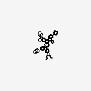 CCCN(CCC)c1ccc(C2(c3ccc(N4CCOCC4)cc3)C=Cc3c4c(c5cc(N6CCOCC6)c(OC)cc5c3O2)-c2ccc(-c3ccccc3)cc2C4(CC)CC)cc1